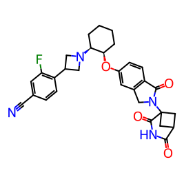 N#Cc1ccc(C2CN([C@H]3CCCC[C@H]3Oc3ccc4c(c3)CN(C35CC(C3)C(=O)NC5=O)C4=O)C2)c(F)c1